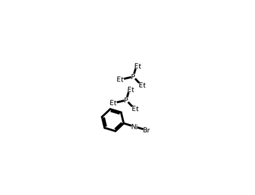 CCP(CC)CC.CCP(CC)CC.[Br][Ni][c]1ccccc1